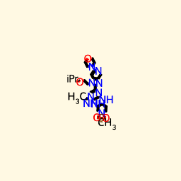 CC(=N)n1cc(-c2nc3cnc(N4CCOCC4)cc3n2CCOC(C)C)nc(NC2CCN(S(C)(=O)=O)CC2)c1=N